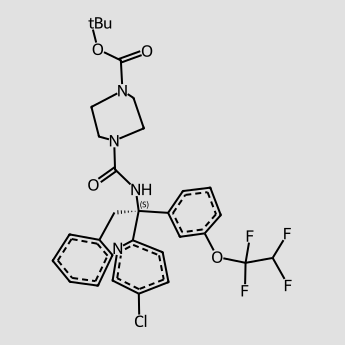 CC(C)(C)OC(=O)N1CCN(C(=O)N[C@@](Cc2ccccc2)(c2cccc(OC(F)(F)C(F)F)c2)c2ccc(Cl)cn2)CC1